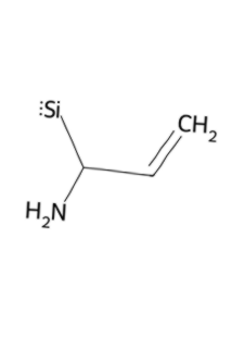 C=CC(N)[Si]